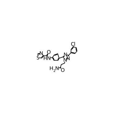 NC(=O)CCn1nc(-c2cccc(Cl)c2)nc1-c1ccc(NC(=O)c2cscn2)cc1